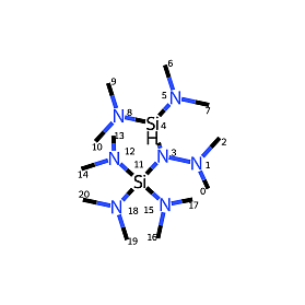 CN(C)N([SiH](N(C)C)N(C)C)[Si](N(C)C)(N(C)C)N(C)C